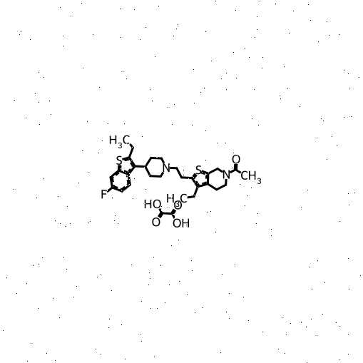 CCc1sc2cc(F)ccc2c1C1CCN(CCc2sc3c(c2CC)CCN(C(C)=O)C3)CC1.O=C(O)C(=O)O